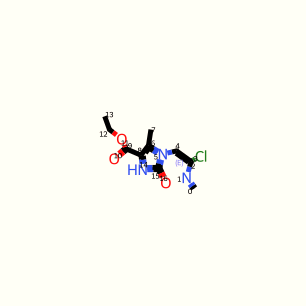 C=N/C(Cl)=C\n1c(C)c(C(=O)OCC)[nH]c1=O